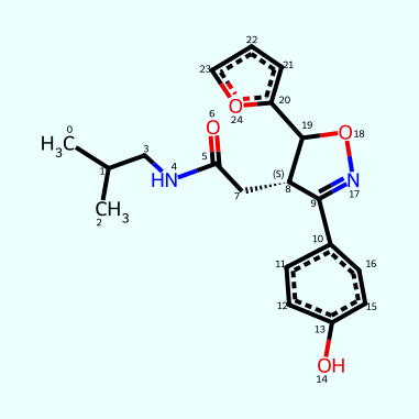 CC(C)CNC(=O)C[C@H]1C(c2ccc(O)cc2)=NOC1c1ccco1